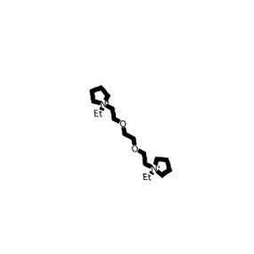 CC[N+]1(CCOCCOCC[N+]2(CC)CCCC2)CCCC1